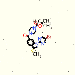 CSc1cn(-c2ncc(Br)cn2)c2cc(C(=O)N3CCN(C(=O)OC(C)(C)C)CC3)ccc12